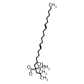 CCCCCCC=CCCCCC=CCCCCCC(CCC)(P(=O)=O)[N+](C)(C)C